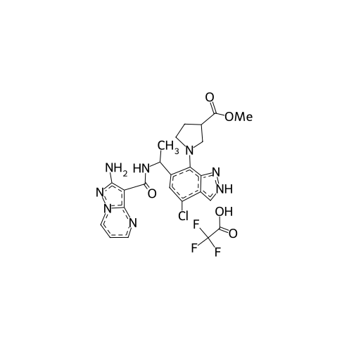 COC(=O)C1CCN(c2c(C(C)NC(=O)c3c(N)nn4cccnc34)cc(Cl)c3c[nH]nc23)C1.O=C(O)C(F)(F)F